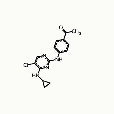 CC(=O)c1ccc(Nc2ncc(Cl)c(NC3CC3)n2)cc1